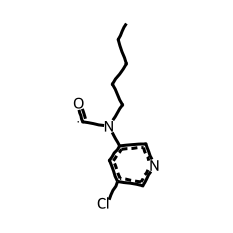 CCCCCN([C]=O)c1cncc(Cl)c1